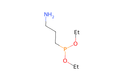 CCOP(CCCN)OCC